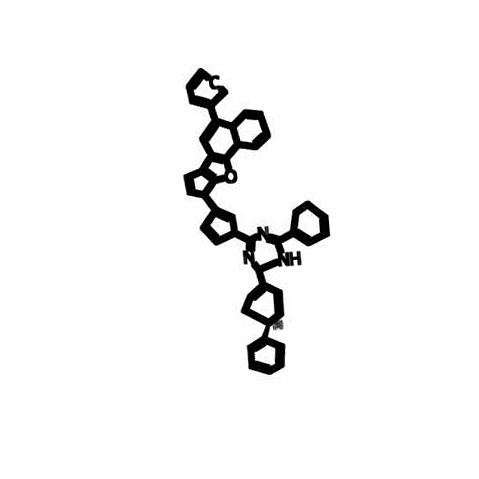 C1=CCCC(C2=Cc3c(oc4c3C=CC4C3=CC(C4=NC(C5=CC[C@H](c6ccccc6)C=C5)NC(C5=CC=CCC5)=N4)C=C3)C3C=CC=CC23)=C1